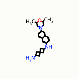 CC1CN(c2ccc3cc(NC4CC5(CC(N)C5)C4)ccc3c2)CC(C)O1